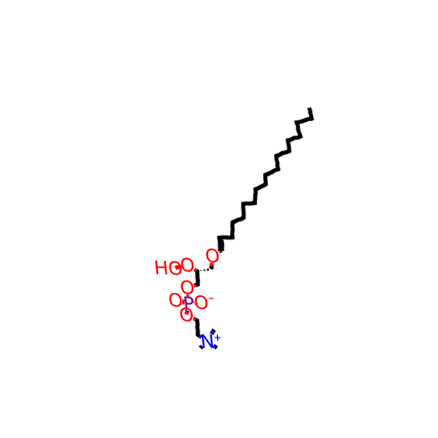 CCCCCCCCCCCCCCCCC=COC[C@H](COP(=O)([O-])OCC[N+](C)(C)C)OO